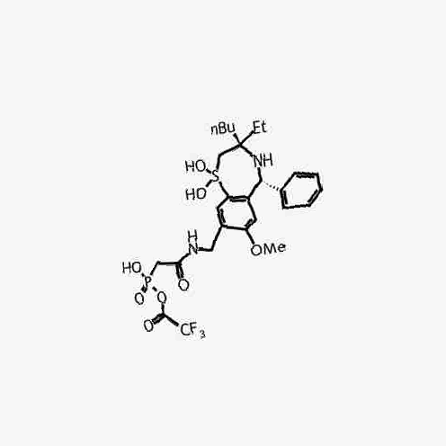 CCCC[C@]1(CC)CS(O)(O)c2cc(CNC(=O)CP(=O)(O)OC(=O)C(F)(F)F)c(OC)cc2[C@@H](c2ccccc2)N1